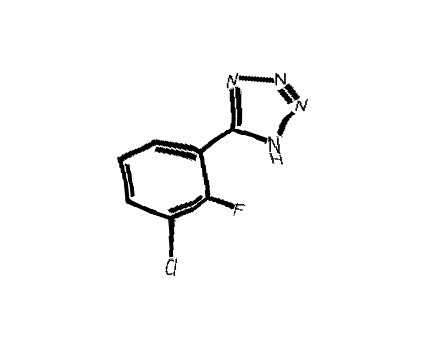 Fc1c(Cl)cccc1-c1nnn[nH]1